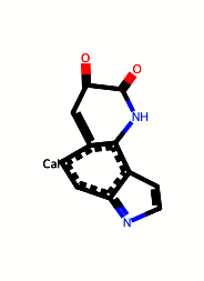 O=C1C=c2ccc3c(c2NC1=O)C=CN=3.[CaH2]